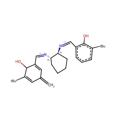 C=C1C=C(/C=N\[C@H]2CCCC[C@@H]2/N=C\c2cccc(C(C)(C)C)c2O)C(O)C(C(C)(C)C)=C1